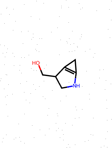 OCC1CNC2=C1C2